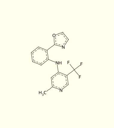 Cc1cc(Nc2ccccc2-c2ncco2)c(C(F)(F)F)cn1